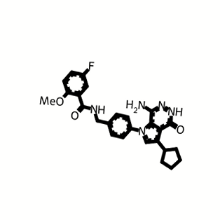 COc1ccc(F)cc1C(=O)NCc1ccc(-n2cc(C3CCCC3)c3c(=O)[nH]nc(N)c32)cc1